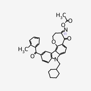 CC(=O)O/N=C1\CCOc2c(ccc3c2c2cc(C(=O)c4ccccc4C)ccc2n3CC2CCCCC2)C1=O